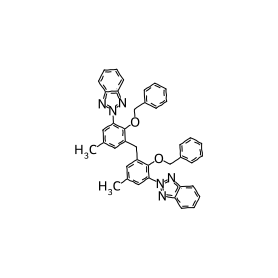 Cc1cc(Cc2cc(C)cc(-n3nc4ccccc4n3)c2OCc2ccccc2)c(OCc2ccccc2)c(-n2nc3ccccc3n2)c1